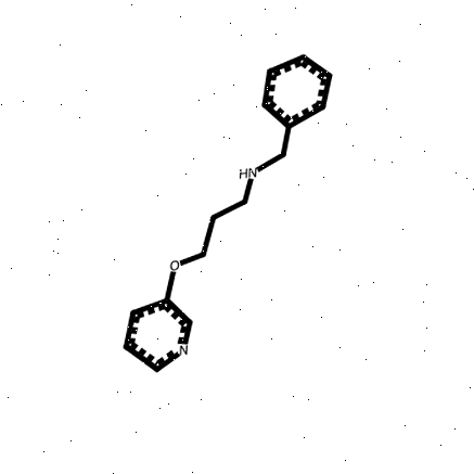 c1ccc(CNCCCOc2cccnc2)cc1